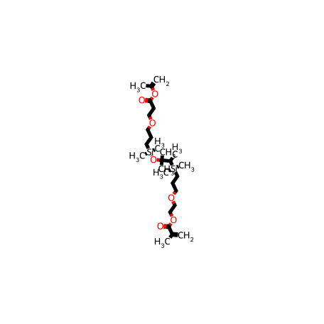 C=C(C)OC(=O)CCOCCC[Si](C)(C)OC(C)(C)C(C)[Si](C)(C)CCCOCCOC(=O)C(=C)C